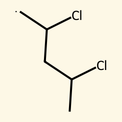 [CH2]C(Cl)CC(C)Cl